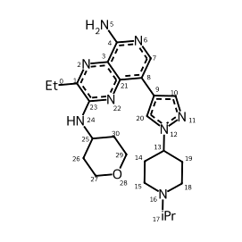 CCc1nc2c(N)ncc(-c3cnn(C4CCN(C(C)C)CC4)c3)c2nc1NC1CCOCC1